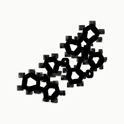 N#Cc1c(Oc2cccc(-n3c4ccccc4c4ccccc43)c2)cccc1Oc1cccc(-n2c3ccccc3c3ccccc32)c1